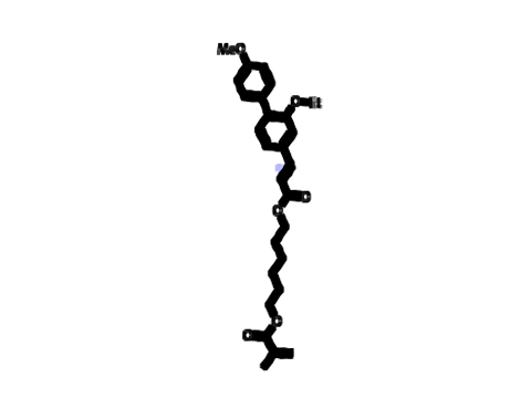 C=C(C)C(=O)OCCCCCCOC(=O)/C=C/c1ccc(-c2ccc(OC)cc2)c(OCC)c1